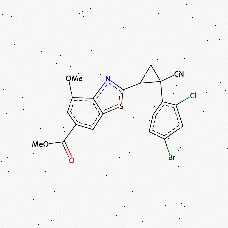 COC(=O)c1cc(OC)c2nc(C3CC3(C#N)c3ccc(Br)cc3Cl)sc2c1